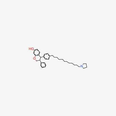 Oc1ccc2c(c1)OCC(c1ccccc1)C2c1ccc(CCCCCCCCCCCCN2CCCC2)cc1